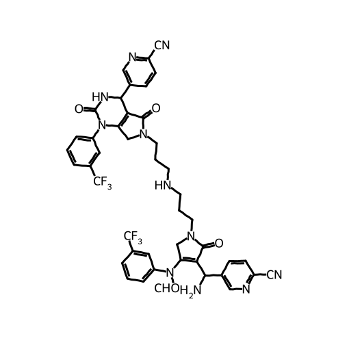 N#Cc1ccc(C(N)C2=C(N(C=O)c3cccc(C(F)(F)F)c3)CN(CCCNCCCN3CC4=C(C3=O)C(c3ccc(C#N)nc3)NC(=O)N4c3cccc(C(F)(F)F)c3)C2=O)cn1